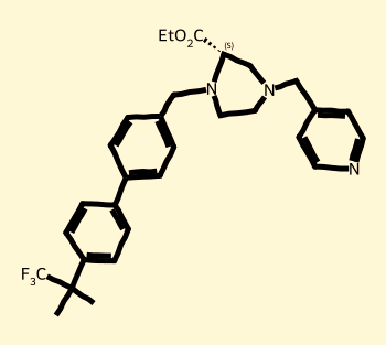 CCOC(=O)[C@@H]1CN(Cc2ccncc2)CCN1Cc1ccc(-c2ccc(C(C)(C)C(F)(F)F)cc2)cc1